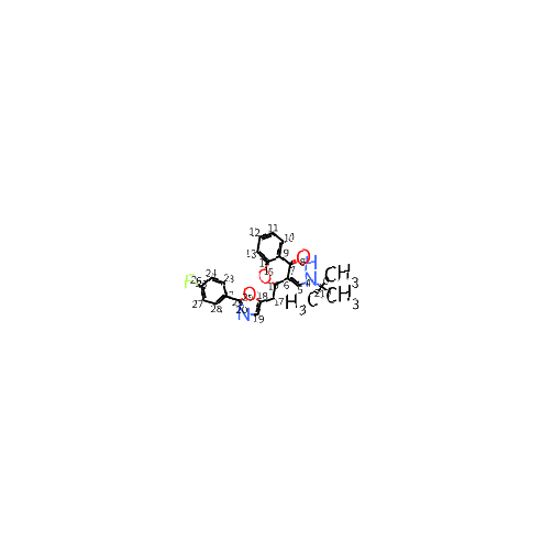 CC(C)(C)N/C=C1\C(=O)c2ccccc2OC1Cc1cnc(-c2ccc(F)cc2)o1